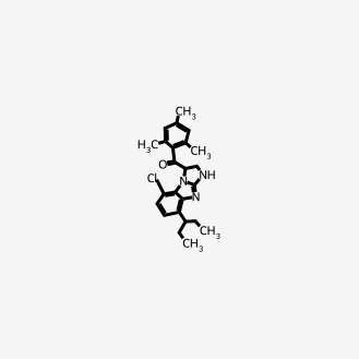 CCC(CC)c1ccc(Cl)c2c1nc1n2C(C(=O)c2c(C)cc(C)cc2C)CN1